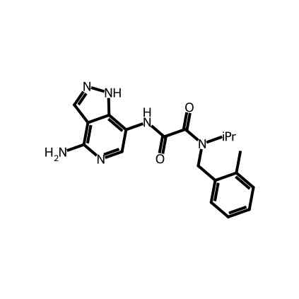 Cc1ccccc1CN(C(=O)C(=O)Nc1cnc(N)c2cn[nH]c12)C(C)C